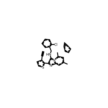 C#Cc1ccsc1-c1nc2cc(C)cc(C)n2c1NCc1ccccc1Cl.c1cc2cc-2c1